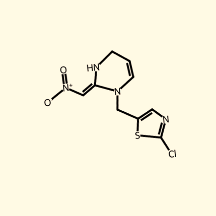 O=[N+]([O-])C=C1NCC=CN1Cc1cnc(Cl)s1